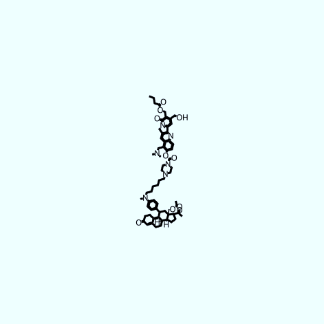 CCCC(=O)OCc1c(CO)cc2n(c1=O)Cc1cc3c(CN(C)C)c(OC(=O)N4CCN(CCCCCCN(C)c5ccc(C6C[C@@]7(C)[C@@H](CC[C@]7(OC(C)=O)C(C)=O)[C@@H]7CCC8=CC(=O)CCC8=C67)cc5)CC4)ccc3nc1-2